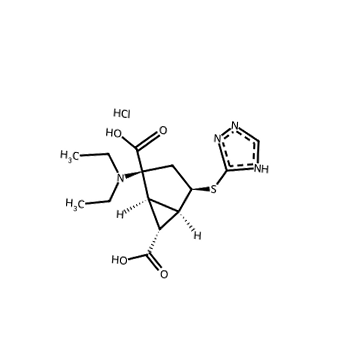 CCN(CC)[C@@]1(C(=O)O)C[C@@H](Sc2nnc[nH]2)[C@H]2[C@H](C(=O)O)[C@H]21.Cl